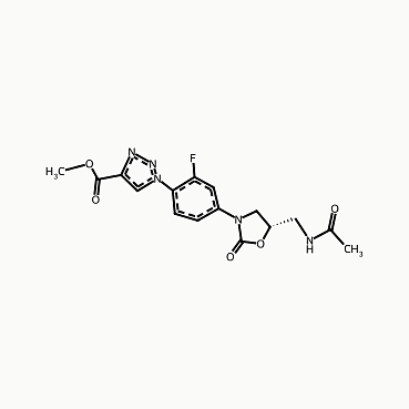 COC(=O)c1cn(-c2ccc(N3C[C@H](CNC(C)=O)OC3=O)cc2F)nn1